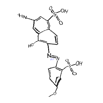 COc1ccc(/N=N/c2ccc3c(S(=O)(=O)O)cc([NH])cc3c2O)c(S(=O)(=O)O)c1